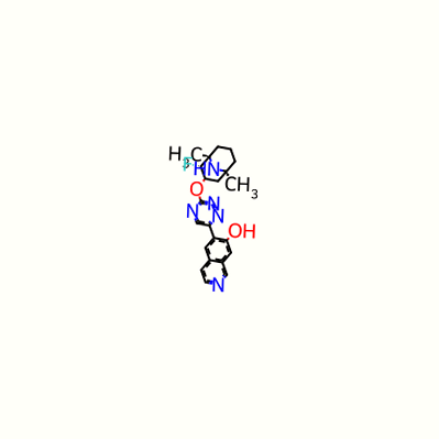 C[C@]12CCC[C@](C)(N1)[C@@H](F)[C@H](Oc1ncc(-c3cc4ccncc4cc3O)nn1)C2